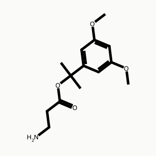 COc1cc(OC)cc(C(C)(C)OC(=O)CCN)c1